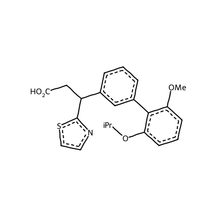 COc1cccc(OC(C)C)c1-c1cccc(C(CC(=O)O)c2nccs2)c1